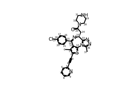 Cc1c(C#Cc2ccccn2)sc2c1C(c1ccc(Cl)cc1)=N[C@@H](CC(=O)N1CCNCC1)c1nnc(C)n1-2